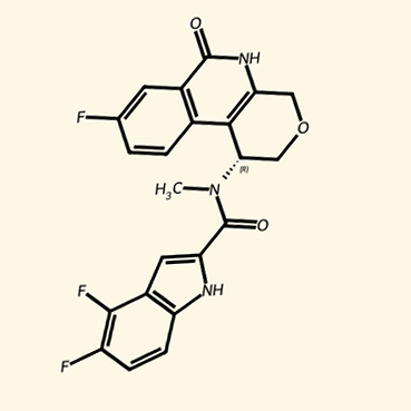 CN(C(=O)c1cc2c(F)c(F)ccc2[nH]1)[C@H]1COCc2[nH]c(=O)c3cc(F)ccc3c21